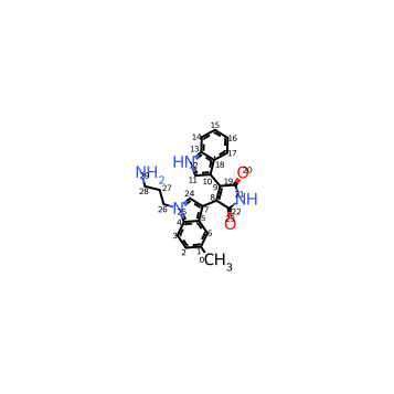 Cc1ccc2c(c1)c(C1=C(c3c[nH]c4ccccc34)C(=O)NC1=O)cn2CCCN